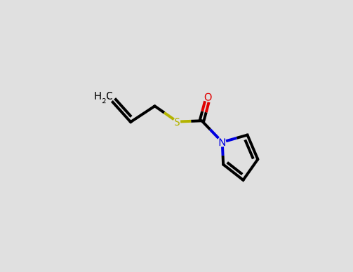 C=CCSC(=O)n1cccc1